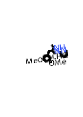 COc1cc(CC2=C(C)NN(c3ccccn3)C2C=O)cc(OC)c1